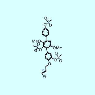 CC/C=C/COc1ccc(-c2c(OC)cc(-c3ccc(OS(C)(=O)=O)cc3)c(OC)c2OS(C)(=O)=O)cc1OS(C)(=O)=O